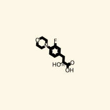 O=C(O)[C@H](O)Cc1ccc(N2CCOCC2)c(F)c1